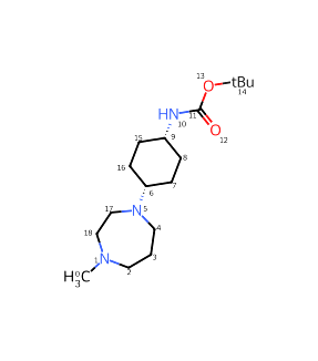 CN1CCCN([C@H]2CC[C@@H](NC(=O)OC(C)(C)C)CC2)CC1